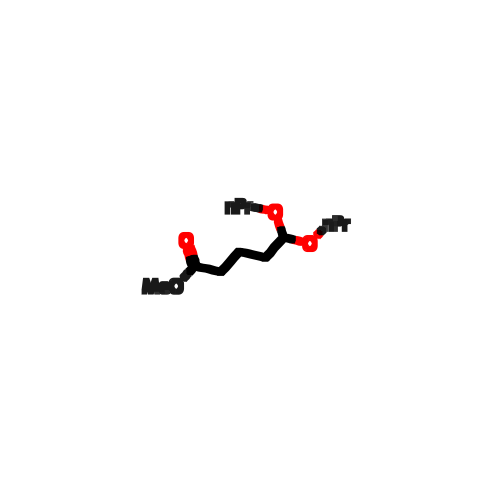 CCCOC(CCCC(=O)OC)OCCC